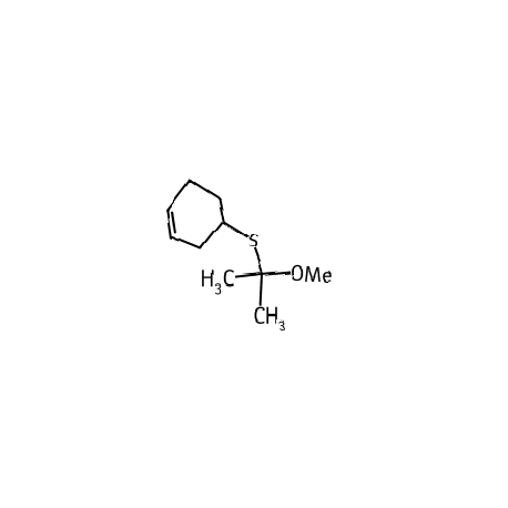 COC(C)(C)SC1CC=CCC1